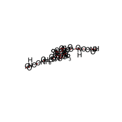 CN1C(=O)[C@@]23C[C@]4([C@]56C[C@]7([SiH3])C(=O)N(C)[C@]([SiH3])(COC(=O)OCCCCC(=O)NCCOCCOCCNC(=O)OC(C)(C)C)C(=O)N7[C@H]5N(S(=O)(=O)c5ccccc5)c5ccccc56)c5ccccc5N(S(=O)(=O)c5ccccc5)[C@@H]4N2C(=O)[C@]1(COC(=O)OCCCCC(=O)NCCOCCOCCNC(=O)OC(C)(C)C)SS3